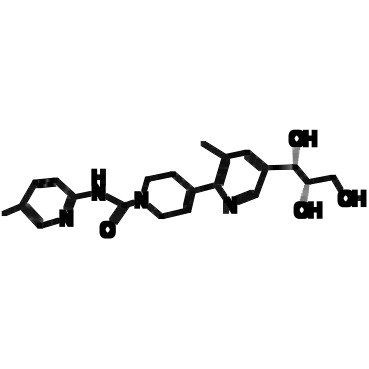 Cc1ccc(NC(=O)N2CC=C(c3ncc([C@H](O)[C@@H](O)CO)cc3C)CC2)nc1